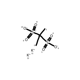 CC(C)(S(=O)(=O)[O-])S(=O)(=O)[O-].[K+].[K+]